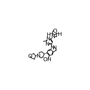 Cc1nc(N2C[C@@H]3C[C@H]2CO3)cc(-n2ncc3cc(C)c([C@@H]4CCN([C@H]5CCOC5)C[C@@H]4O)cc32)n1